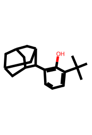 CC(C)(C)c1cccc(C2C3CC4CC(C3)CC2C4)c1O